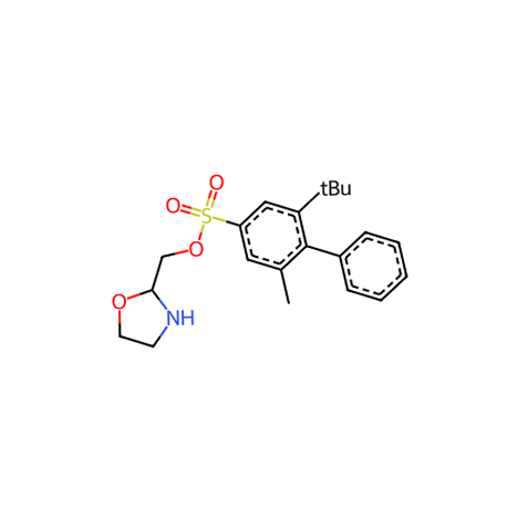 Cc1cc(S(=O)(=O)OCC2NCCO2)cc(C(C)(C)C)c1-c1ccccc1